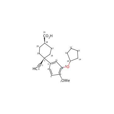 C#C[C@]1(c2ccc(OC)c(OC3CCCC3)c2)CC[C@H](C(=O)O)CC1